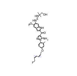 Cc1cc(OC/C=C\C=C/CF)ccc1-n1ncc(C(=O)c2cc3cc(OF)c(NSNC(C)(C)CO)cc3[nH]2)c1N